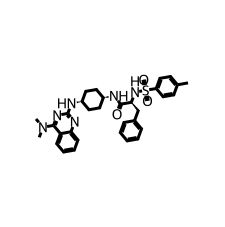 Cc1ccc(S(=O)(=O)N[C@@H](Cc2ccccc2)C(=O)N[C@H]2CC[C@@H](Nc3nc(N(C)C)c4ccccc4n3)CC2)cc1